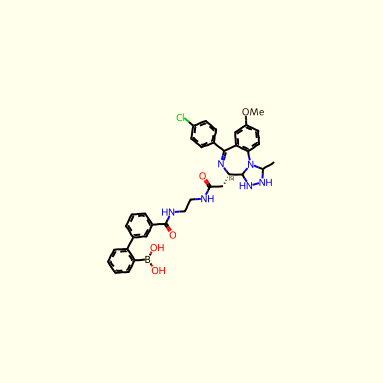 COc1ccc2c(c1)C(c1ccc(Cl)cc1)=N[C@@H](CC(=O)NCCNC(=O)c1cccc(-c3ccccc3B(O)O)c1)C1NNC(C)N21